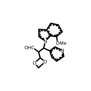 COc1cccc2ccn(C(c3cccnc3)C(C=O)C3OCO3)c12